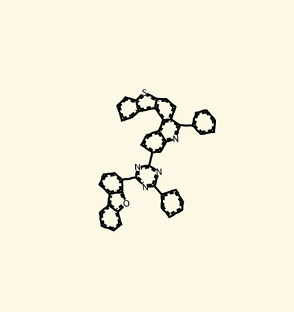 c1ccc(-c2nc(-c3ccc4c(c3)nc(-c3ccccc3)c3ccc5sc6ccccc6c5c34)nc(-c3cccc4c3oc3ccccc34)n2)cc1